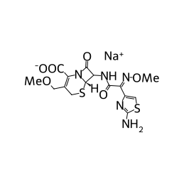 COCC1=C(C(=O)[O-])N2C(=O)C(NC(=O)C(=NOC)c3csc(N)n3)[C@@H]2SC1.[Na+]